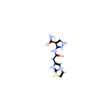 NC(=O)c1c[nH]nc1NC(=O)Cc1cn2ccsc2n1